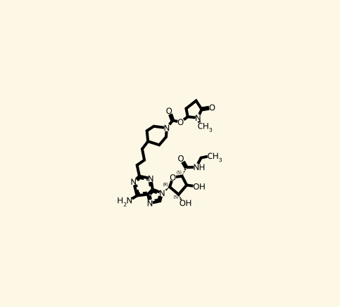 CCNC(=O)[C@H]1O[C@@H](n2cnc3c(N)nc(CCCC4CCN(C(=O)OC5CCC(=O)N5C)CC4)nc32)[C@@H](O)C1O